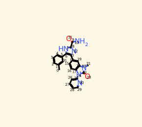 Cc1cccc(-c2[nH]c(C(N)=O)nc2-c2ccc3c(c2)n(C)c(=O)n3-c2ccccn2)c1